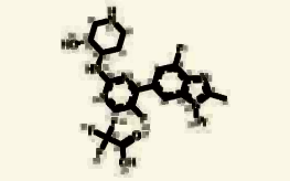 Cc1nc2c(F)cc(-c3nc(N[C@@H]4CCNC[C@H]4O)ncc3F)cc2n1C(C)C.O=C(O)C(F)(F)F